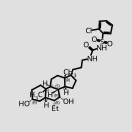 CC[C@H]1[C@@H](O)[C@@H]2[C@H](CC[C@]3(C)[C@@H](CCCNC(=O)NS(=O)(=O)c4ccccc4Cl)CC[C@@H]23)[C@@]2(C)CC[C@@H](O)C[C@@H]12